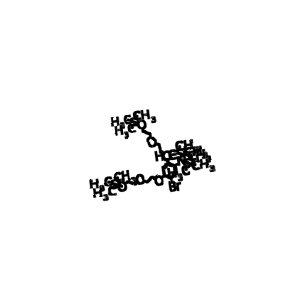 C[Si](C)(C)OCCOCCOc1cc(OCCOCCO[Si](C)(C)C)c(N([Si](C)(C)C)[Si](C)(C)C)cc1Br